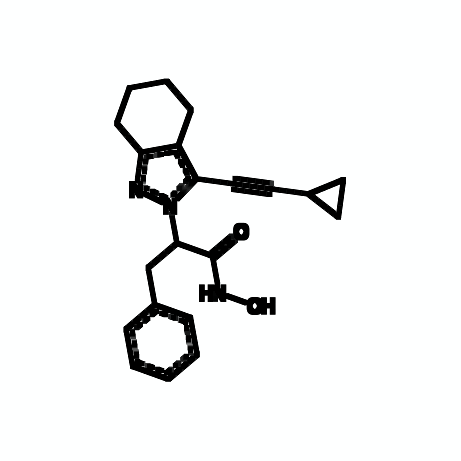 O=C(NO)C(Cc1ccccc1)n1nc2c(c1C#CC1CC1)CCCC2